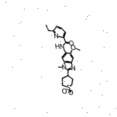 CCc1cccc(C(=O)Nc2cc3c(cc2OC)nc(C2CCS(=O)(=O)CC2)n3C)n1